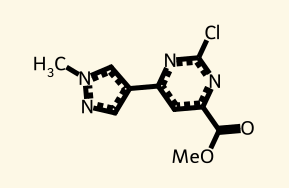 COC(=O)c1cc(-c2cnn(C)c2)nc(Cl)n1